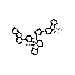 CC1(C)c2ccccc2-c2cc(-c3cccc(N(c4ccc(-c5cccc6c5sc5ccccc56)cc4)c4cccc5c4C(C)(C)c4ccccc4-5)c3)ccc21